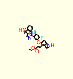 CCOC(=O)/C=C/c1c(Oc2ccc(F)c(-c3ncc(C(C)(O)c4ccccc4)[nH]3)c2)c(F)cc2[nH]ccc12